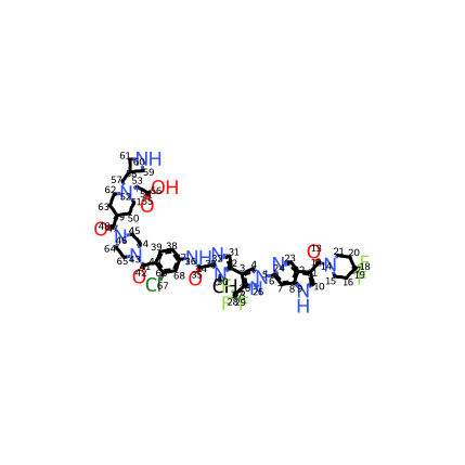 Cn1c(-c2cn(-c3cc4[nH]cc(C(=O)N5CCC(F)(F)CC5)c4cn3)nc2C(F)(F)F)cnc1C(=O)Nc1ccc(C(=O)N2CCN(C(=O)C3CC[N+](CC(=O)O)(CC4CNC4)CC3)CC2)c(Cl)c1